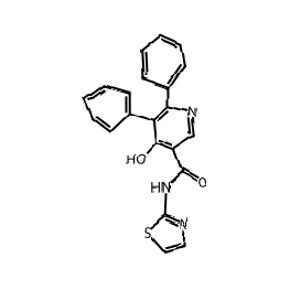 O=C(Nc1nccs1)c1cnc(-c2ccccc2)c(-c2ccccc2)c1O